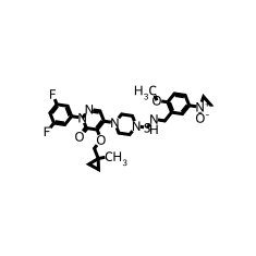 COc1ccc([N+]2([O-])CC2)cc1CNSN1CCN(c2cnn(-c3cc(F)cc(F)c3)c(=O)c2OCC2(C)CC2)CC1